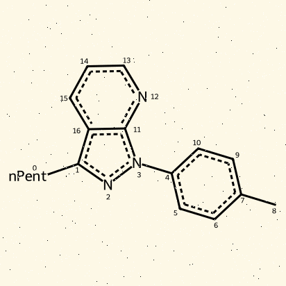 CCCCCc1nn(-c2ccc(C)cc2)c2ncccc12